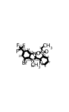 CCS(=O)(=O)c1cccnc1-c1nc2cc(C(F)(F)F)cc(Br)c2n1C